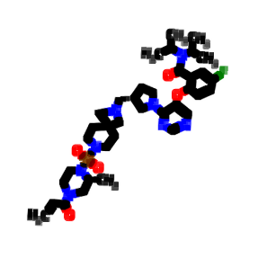 C=CC(=O)N1CCN(S(=O)(=O)N2CCC3(CC2)CN(C[C@@H]2CCN(c4ncncc4Oc4ccc(F)cc4C(=O)N(C(C)C)C(C)C)C2)C3)[C@@H](C)C1